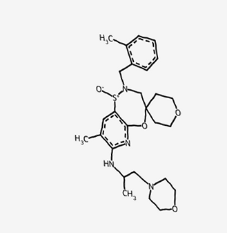 Cc1ccccc1CN1CC2(CCOCC2)Oc2nc(NC(C)CN3CCOCC3)c(C)cc2[S+]1[O-]